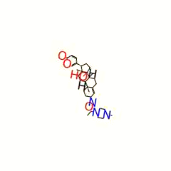 CC(O/N=C1/C=C2CC[C@@H]3[C@H](CC[C@]4(C)[C@@H](c5ccc(=O)oc5)CC[C@]34O)[C@@]2(C)CC1)N1CCN(C)CC1